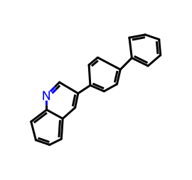 c1ccc(-c2ccc(-c3cnc4ccccc4c3)cc2)cc1